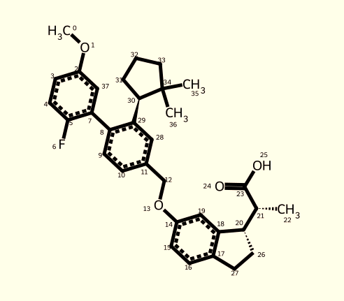 COc1ccc(F)c(-c2ccc(COc3ccc4c(c3)[C@H]([C@@H](C)C(=O)O)CC4)cc2[C@H]2CCCC2(C)C)c1